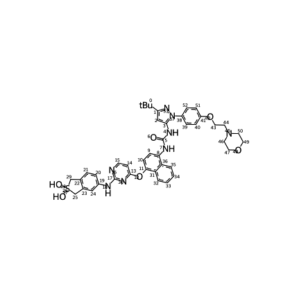 CC(C)(C)c1cc(NC(=O)Nc2ccc(Oc3ccnc(Nc4ccc5c(c4)CS(O)(O)C5)n3)c3ccccc23)n(-c2ccc(OCCN3CCOCC3)cc2)n1